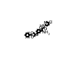 Nc1c(C(=O)Nc2ccc(Cl)cn2)oc2ccc(OC3COC(c4ccccc4)OC3)cc12